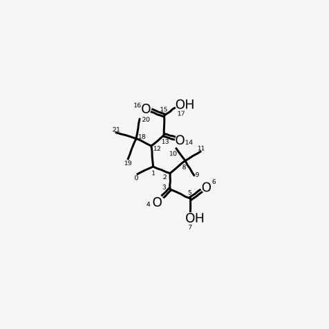 CC(C(C(=O)C(=O)O)C(C)(C)C)C(C(=O)C(=O)O)C(C)(C)C